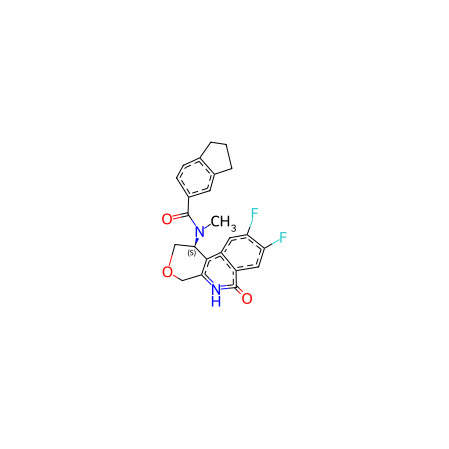 CN(C(=O)c1ccc2c(c1)CCC2)[C@@H]1COCc2[nH]c(=O)c3cc(F)c(F)cc3c21